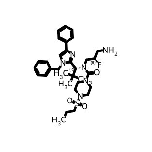 CCCS(=O)(=O)N1CCN(C(=O)N(C[C@H](F)CN)[C@@H](c2nc(-c3ccccc3)cn2Cc2ccccc2)C(C)(C)C)CC1